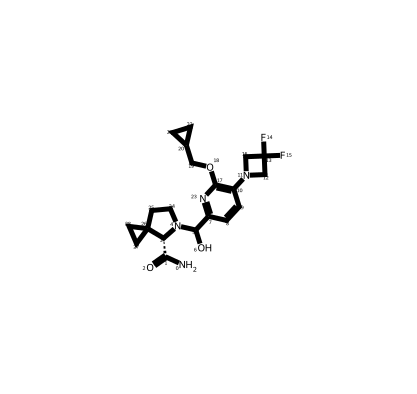 NC(=O)[C@H]1N(C(O)c2ccc(N3CC(F)(F)C3)c(OCC3CC3)n2)CCC12CC2